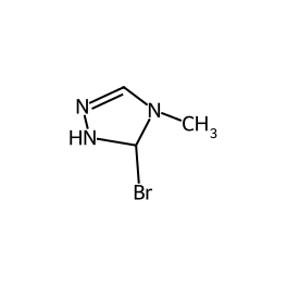 CN1C=NNC1Br